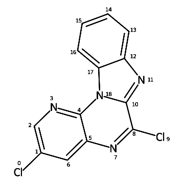 Clc1cnc2c(c1)nc(Cl)c1nc3ccccc3n12